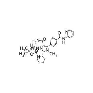 CN1C(c2ccc(C(=O)Nc3ccccn3)cc2)=C(C(N)=O)N(N)C1[C@@H]1CCCCN1C(=O)OC(C)(C)C